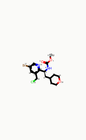 CC(C)(C)OC(=O)N[C@@H](CC1CCOCC1)c1ncc(Br)cc1CCl